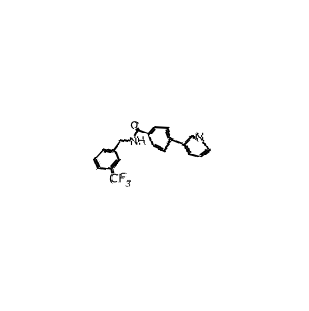 O=C(NCc1cccc(C(F)(F)F)c1)c1ccc(-c2cccnc2)cc1